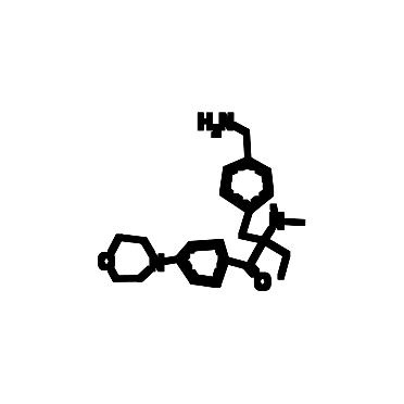 CCC(Cc1ccc(CN)cc1)(C(=O)c1ccc(N2CCOCC2)cc1)N(C)C